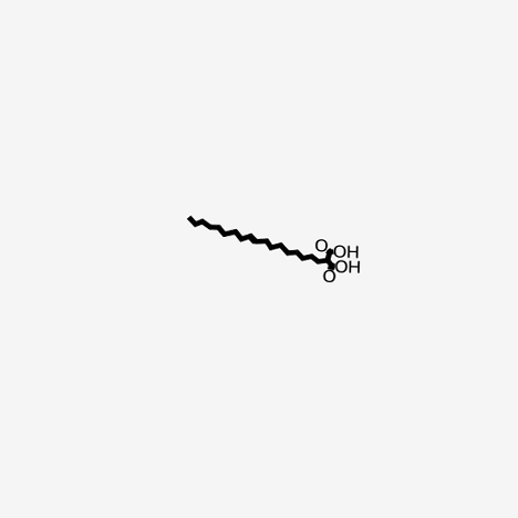 CCCCCCCC/C=C/CCCCCCCCC(C(=O)O)C(=O)O